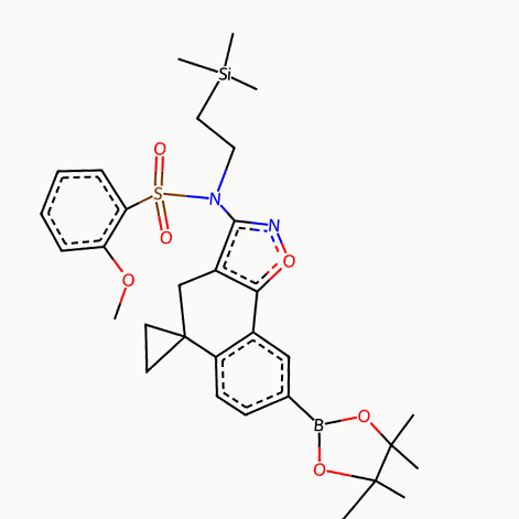 COc1ccccc1S(=O)(=O)N(CC[Si](C)(C)C)c1noc2c1CC1(CC1)c1ccc(B3OC(C)(C)C(C)(C)O3)cc1-2